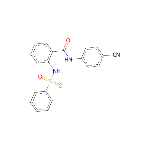 N#Cc1ccc(NC(=O)c2ccccc2NS(=O)(=O)c2ccccc2)cc1